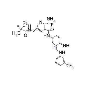 CC(C)(F)C(=O)NCc1cnc(C(N)F)c(C(=O)NC2=C/C(=C/Nc3cccc(C(F)(F)F)c3)C(=N)C=C2)c1